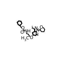 C[C@H](CCNC(=O)OCc1ccccc1)Oc1cnc2c(c1)c(I)nn2C1CCCCO1